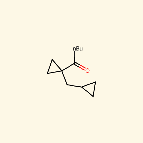 CCCCC(=O)C1(CC2CC2)CC1